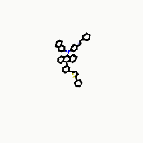 C(=C\c1ccc(N(c2ccc3ccccc3c2)c2c3ccccc3c(-c3cccc(-c4ccc(-c5ccccc5)s4)c3)c3ccccc23)cc1)/c1ccccc1